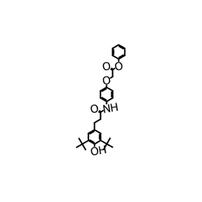 CC(C)(C)c1cc(CCC(=O)Nc2ccc(OCC(=O)Oc3ccccc3)cc2)cc(C(C)(C)C)c1O